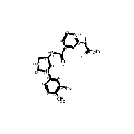 CC(C)C(=O)Nc1cc(C(=O)N[C@@H]2CCCN(c3ccc(C(F)(F)F)c(F)c3)C2)ccn1